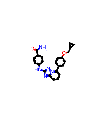 NC(=O)c1ccc(Nc2nc3cccc(-c4ccc(OCC5CC5)cc4)n3n2)cc1